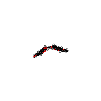 C=CS(=O)(=O)c1ccc2cc(N3C(=O)c4ccc5c6ccc7c8c(ccc(c9ccc(c4c59)C3=O)c86)C(=O)N(CCCOCCCN3C(=O)c4ccc5c6ccc8c9c(ccc(c%10ccc(c4c5%10)C3=O)c96)C(=O)N(c3ccc4cc(S(=O)(=O)C=C)ccc4c3)C8=O)C7=O)ccc2c1